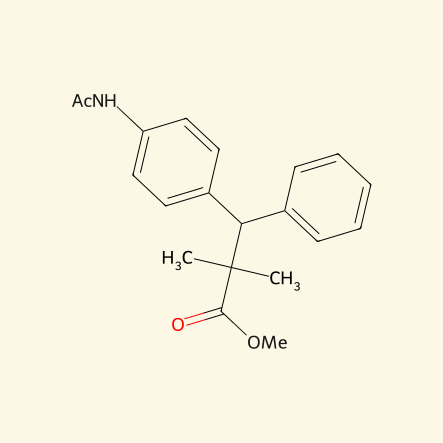 COC(=O)C(C)(C)C(c1ccccc1)c1ccc(NC(C)=O)cc1